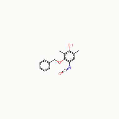 Cc1cc(N=C=O)c(OCc2ccccc2)c(C)c1O